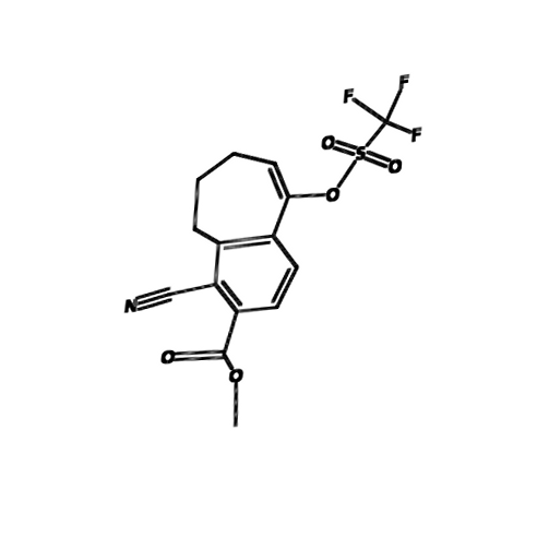 COC(=O)c1ccc2c(c1C#N)CCCC=C2OS(=O)(=O)C(F)(F)F